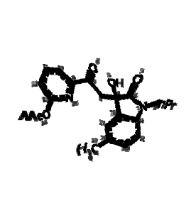 CCCN1C(=O)C(O)(CC(=O)c2cccc(OC)n2)c2cc(C)ccc21